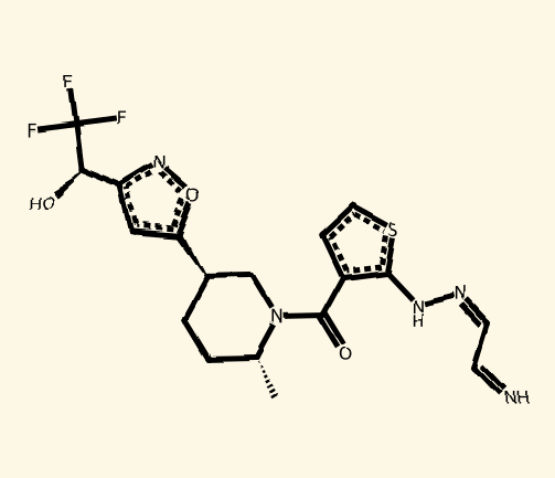 C[C@@H]1CC[C@@H](c2cc([C@@H](O)C(F)(F)F)no2)CN1C(=O)c1ccsc1N/N=C\C=N